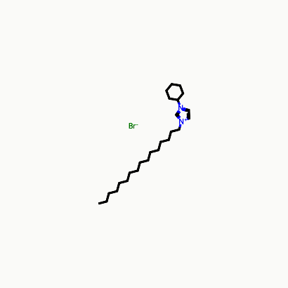 CCCCCCCCCCCCCCCC[n+]1ccn(C2CCCCC2)c1.[Br-]